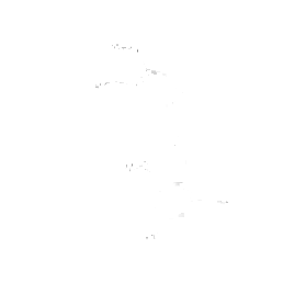 COc1ccc(CCOc2c(OC)cc(C(C)C)cc2OC)cc1OC